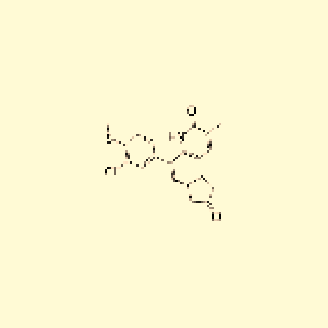 CSc1ccc(C(=C[C@H]2CCC(=O)C2)c2ccc(C)c(=O)[nH]2)cc1Cl